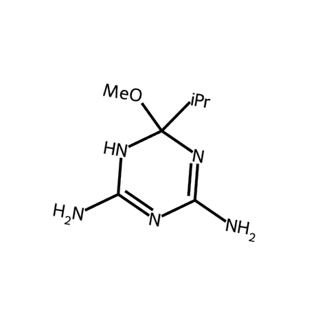 COC1(C(C)C)N=C(N)N=C(N)N1